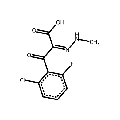 CNN=C(C(=O)O)C(=O)c1c(F)cccc1Cl